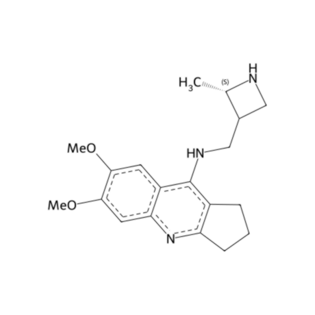 COc1cc2nc3c(c(NCC4CN[C@H]4C)c2cc1OC)CCC3